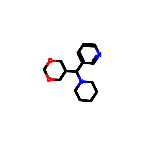 c1cncc(C(C2COCOC2)N2CCCCC2)c1